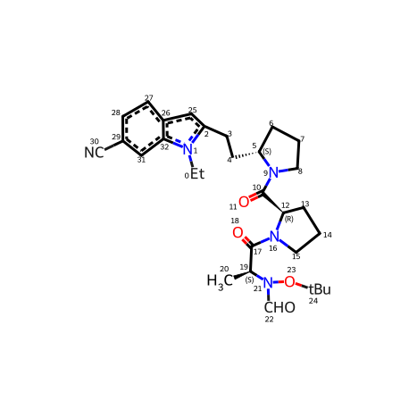 CCn1c(CC[C@@H]2CCCN2C(=O)[C@H]2CCCN2C(=O)[C@H](C)N(C=O)OC(C)(C)C)cc2ccc(C#N)cc21